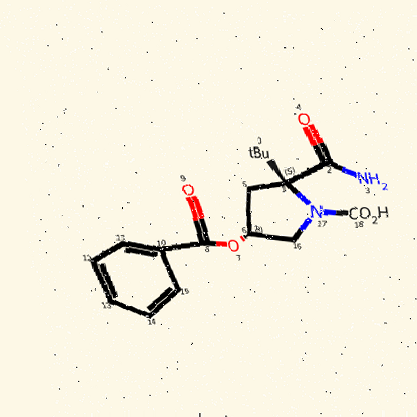 CC(C)(C)[C@]1(C(N)=O)C[C@@H](OC(=O)c2ccccc2)CN1C(=O)O